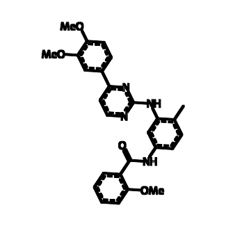 COc1ccc(-c2ccnc(Nc3cc(NC(=O)c4ccccc4OC)ccc3C)n2)cc1OC